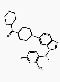 C[C@H](c1ccc(Cl)cc1C(F)(F)F)n1cnc2ccc(N3CCN(C(=O)C4CCCCN4)CC3)cc21